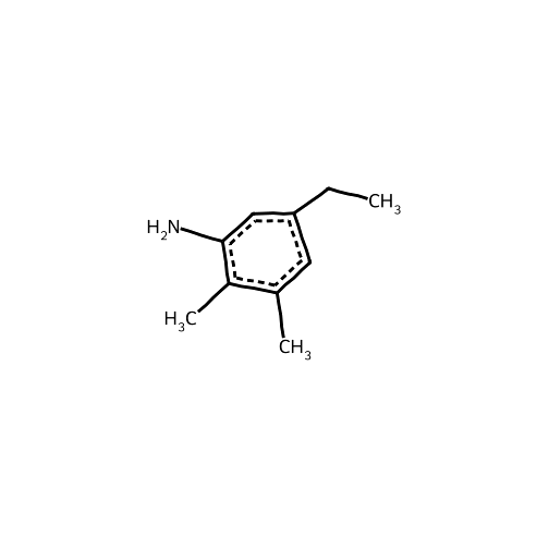 CCc1cc(C)c(C)c(N)c1